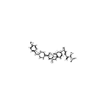 CN(C)C(=O)C(=O)c1c[nH]c2cc(Cl)c(CS(=O)(=O)CC(=O)N3CCC(Cc4ccc(F)cc4)CC3)cc12